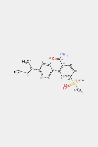 CCC(C)c1ccc(-c2cc(S(C)(=O)=O)ccc2C(N)=O)cc1